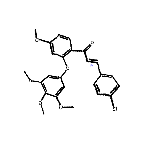 COc1ccc(C(=O)/C=C/c2ccc(Cl)cc2)c(Oc2cc(OC)c(OC)c(OC)c2)c1